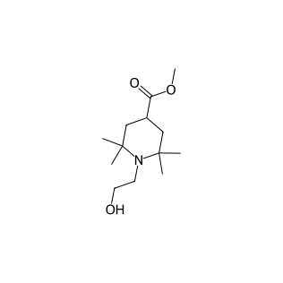 COC(=O)C1CC(C)(C)N(CCO)C(C)(C)C1